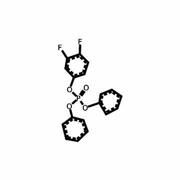 O=P(Oc1ccccc1)(Oc1ccccc1)Oc1ccc(F)c(F)c1